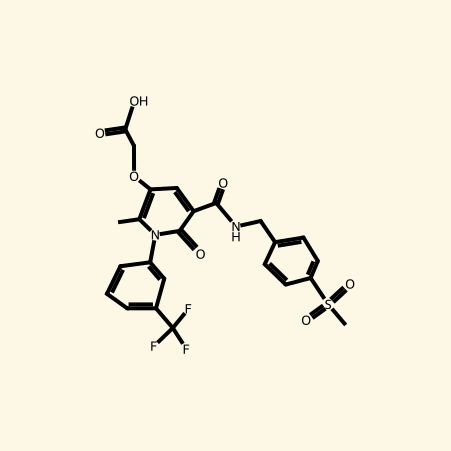 Cc1c(OCC(=O)O)cc(C(=O)NCc2ccc(S(C)(=O)=O)cc2)c(=O)n1-c1cccc(C(F)(F)F)c1